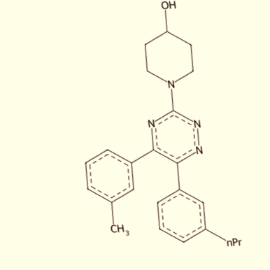 CCCc1cccc(-c2nnc(N3CCC(O)CC3)nc2-c2cccc(C)c2)c1